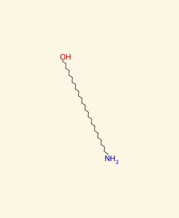 NCCCCCCCCCCCCCCCCCCCCCCCCCCCCO